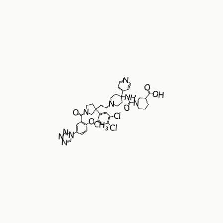 COc1ccc(-n2cnnn2)cc1C(=O)N1CCC(CCN2CCC(NC(=O)N3CCCC(C(=O)O)C3)(c3ccncc3)CC2)(c2ccc(Cl)c(Cl)c2)C1